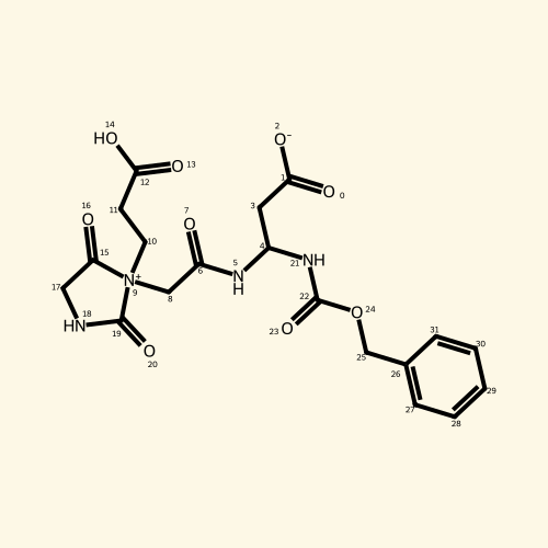 O=C([O-])CC(NC(=O)C[N+]1(CCC(=O)O)C(=O)CNC1=O)NC(=O)OCc1ccccc1